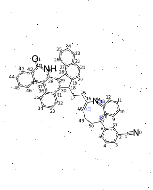 N#Cc1cccc(\C2=c3/cccc/c3=N/C(CCC3c4ccc5ccccc5c4-c4c3c3ccccc3c3c4[nH]c(=O)c4ccccc43)=C\CC2)c1